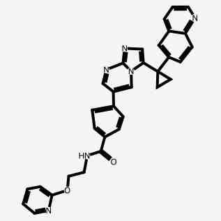 O=C(NCCOc1ccccn1)c1ccc(-c2cnc3ncc(C4(c5ccc6ncccc6c5)CC4)n3c2)cc1